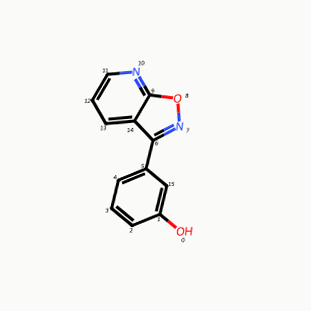 Oc1cccc(-c2noc3ncccc23)c1